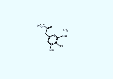 C.C=C(Cc1cc(CCCC)c(O)c(CCCC)c1)C(=O)O